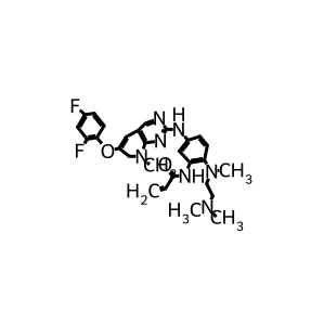 C=CC(=O)Nc1cc(Nc2ncc3c(n2)N(C)CC(Oc2ccc(F)cc2F)=C3)ccc1N(C)CCN(C)C